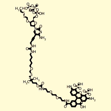 CCSSCO[C@@H]1C[C@H](n2cc(C#CCNC(=O)NCCCCCOCSSC(C)(C)CCOC(=O)NCCOCCOCCNC(=O)c3ccc(C(=O)O)c(-c4c5ccc(=N)c(S(=O)(=O)O)c-5oc5c(S(=O)(=O)O)c(N)ccc45)c3)c(N)nc2=O)O[C@@H]1COP(=O)(O)OP(=O)(O)OP(=O)(O)O